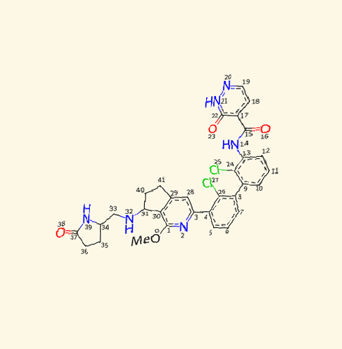 COc1nc(-c2cccc(-c3cccc(NC(=O)c4ccn[nH]c4=O)c3Cl)c2Cl)cc2c1C(NCC1CCC(=O)N1)CC2